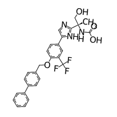 C[C@@](CO)(NC(=O)O)c1ncc(-c2ccc(OCc3ccc(-c4ccccc4)cc3)c(C(F)(F)F)c2)[nH]1